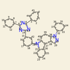 c1ccc(-c2nc(-c3ccccc3)nc(-c3cccc(-n4c5ccccc5c5c6cnn(-c7ccccc7)c6ccc54)c3)n2)cc1